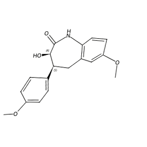 COc1ccc([C@@H]2Cc3cc(OC)ccc3NC(=O)[C@@H]2O)cc1